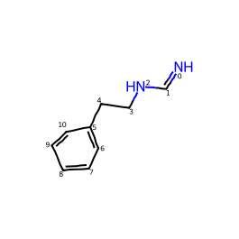 N=CNCCc1ccccc1